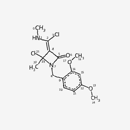 CN/C(Cl)=C1/C(=O)N(Cc2ccc(OC)cc2OC)C1(C)Cl